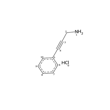 Cl.NCC#Cc1ccccc1